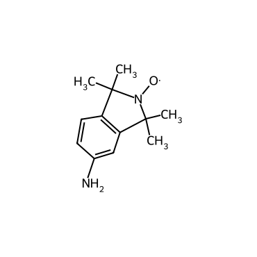 CC1(C)c2ccc(N)cc2C(C)(C)N1[O]